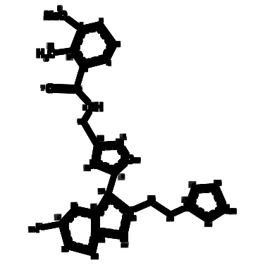 COc1cccc(C(=O)NCc2noc(-c3c4cc(F)ccc4nn3CCn3ccnc3)n2)c1C